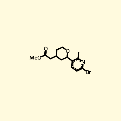 COC(=O)CC1CCOC(c2ccc(Br)nc2C)C1